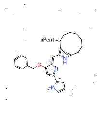 CCCCCC1CCCCCCc2cc1c(/C=C1\N=C(c3ccc[nH]3)C=C1OCc1ccccc1)[nH]2